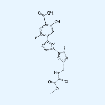 COC(=O)C(=O)NCc1nc(C)c(-c2csc(-c3cc(O)c(C(=O)O)cc3F)n2)s1